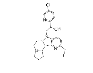 OC(CN1c2ccc(CF)nc2C2C3CCCN3CCC21)c1ccc(Cl)cn1